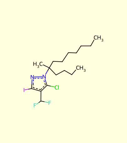 CCCCCCCC(C)(CCCC)n1nc(I)c(C(F)F)c1Cl